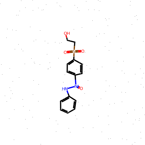 O=[N+](Nc1ccccc1)c1c[c]c(S(=O)(=O)CCO)cc1